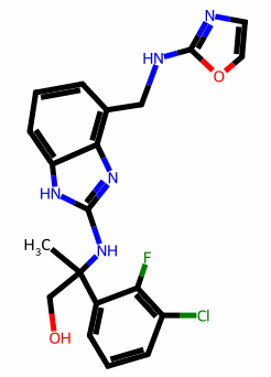 CC(CO)(Nc1nc2c(CNc3ncco3)cccc2[nH]1)c1cccc(Cl)c1F